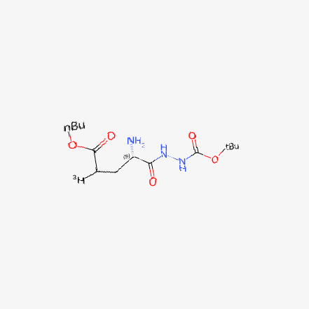 [3H]C(C[C@H](N)C(=O)NNC(=O)OC(C)(C)C)C(=O)OCCCC